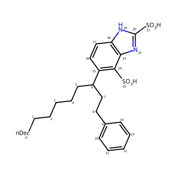 CCCCCCCCCCCCCCCC(CCc1ccccc1)c1ccc2[nH]c(S(=O)(=O)O)nc2c1S(=O)(=O)O